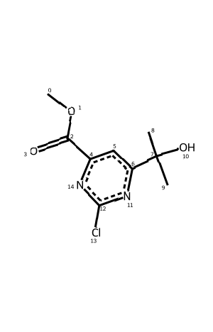 COC(=O)c1cc(C(C)(C)O)nc(Cl)n1